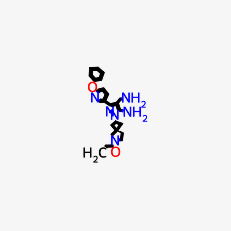 C=CC(=O)N1CC[C@]2(C1)C[C@@H](n1nc(-c3ccc(Oc4ccccc4)nc3)c(CN)c1N)C2